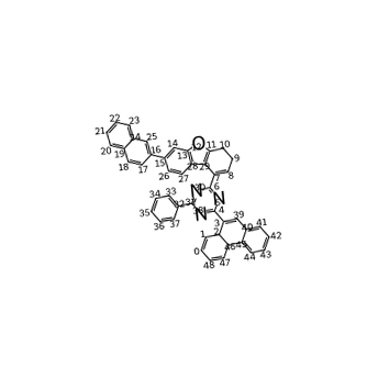 C1=CC2C(c3nc(C4=CCCc5oc6cc(-c7ccc8ccccc8c7)ccc6c54)nc(-c4ccccc4)n3)=Cc3ccccc3C2C=C1